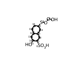 O=S(=O)(O)c1cc2cc(SOOO)ccc2cc1O